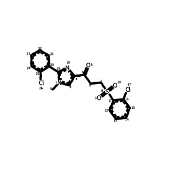 Cn1cc(C(=O)CCS(=O)(=O)c2ccccc2Cl)nc1-c1ccccc1Cl